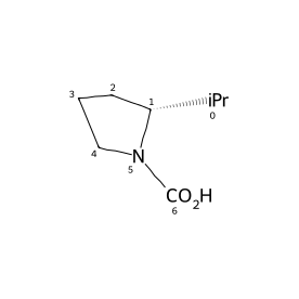 CC(C)[C@H]1CCCN1C(=O)O